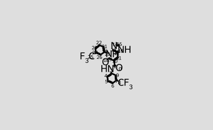 O=C(Nc1cccc(C(F)(F)F)c1)C(=Cc1cnc[nH]1)C(=O)Nc1cccc(C(F)(F)F)c1